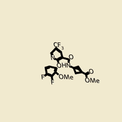 COC(=O)C12CC(NC(=O)c3cc(C(F)(F)F)cnc3Oc3ccc(F)c(F)c3OC)(C1)C2